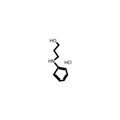 Cl.OCCCNc1ccccc1